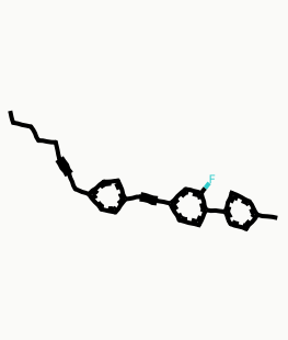 CCCCCC#CCc1ccc(C#Cc2ccc(-c3ccc(C)cc3)c(F)c2)cc1